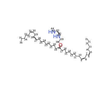 CCCCC/C=C\C/C=C\CCCCCCCCC(CCCCCCCC/C=C\C/C=C\CCCCC)OCCN/C=C\NC